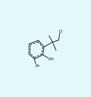 CC(C)c1cccc(C(C)(C)CCl)c1O